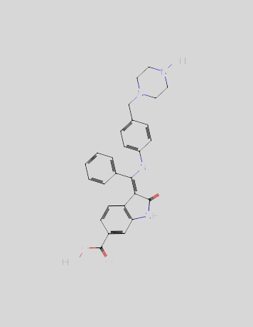 COC(=O)c1ccc2c(c1)NC(=O)/C2=C(\Nc1ccc(CN2CCN(C)CC2)cc1)c1ccccc1